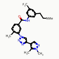 CNCCc1cc(NC(=O)c2ccc(C)c(-n3cc(-c4cnn(C)c4C)nn3)c2)cc(C(F)(F)F)c1